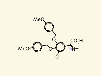 C/N=C(\C(=O)O)c1cc(Cl)c(OCc2ccc(OC)cc2)c(OCc2ccc(OC)cc2)c1